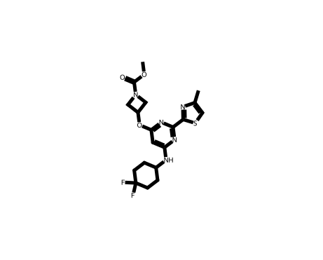 COC(=O)N1CC(Oc2cc(NC3CCC(F)(F)CC3)nc(-c3nc(C)cs3)n2)C1